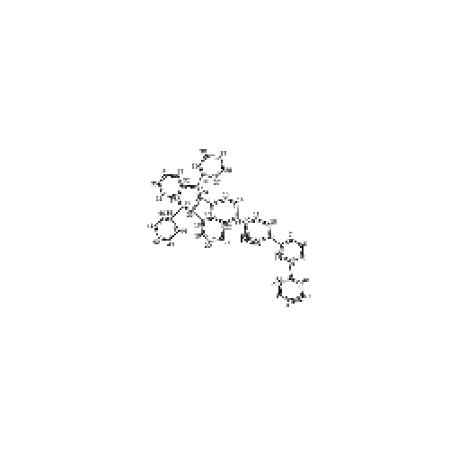 c1cnc(-c2cccc(-c3ccc(-c4ccc5c6c(cccc46)-c4c-5c(-c5ccccc5)c5ccccc5c4-c4ccccc4)nn3)n2)cc#1